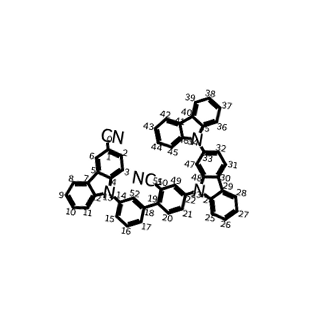 N#Cc1ccc2c(c1)c1ccccc1n2-c1cccc(-c2ccc(-n3c4ccccc4c4ccc(-n5c6ccccc6c6ccccc65)cc43)cc2C#N)c1